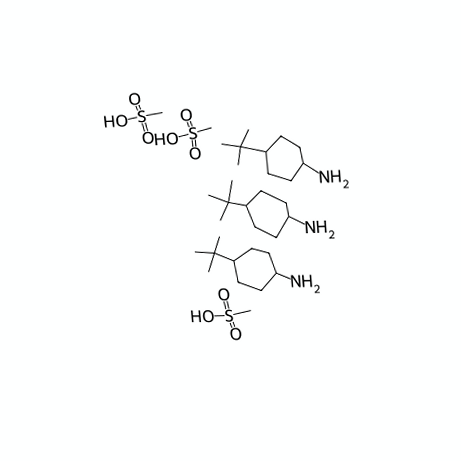 CC(C)(C)C1CCC(N)CC1.CC(C)(C)C1CCC(N)CC1.CC(C)(C)C1CCC(N)CC1.CS(=O)(=O)O.CS(=O)(=O)O.CS(=O)(=O)O